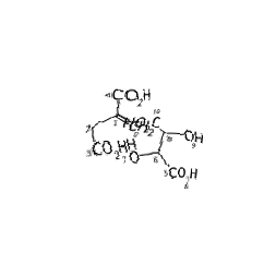 C=C(CC(=O)O)C(=O)O.O=C(O)C(O)C(O)C(=O)O